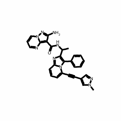 CC(NC(=O)c1c(N)nn2cccnc12)c1nc2cccc(C#Cc3cnn(C)c3)n2c1-c1ccccc1